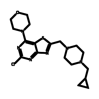 Clc1nc(N2CCOCC2)c2sc(CN3CCN(CC4CC4)CC3)nc2n1